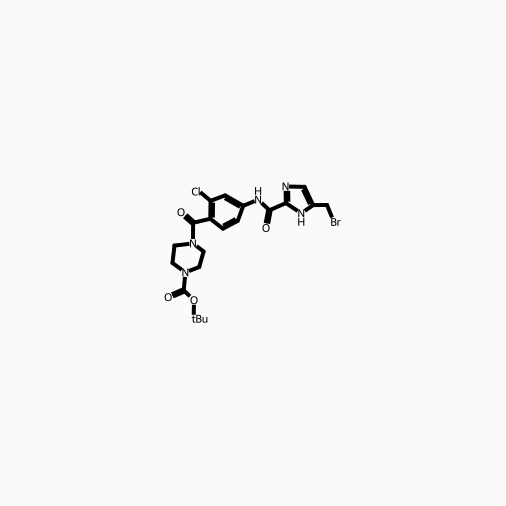 CC(C)(C)OC(=O)N1CCN(C(=O)c2ccc(NC(=O)c3ncc(CBr)[nH]3)cc2Cl)CC1